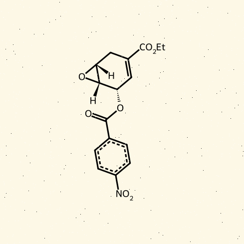 CCOC(=O)C1=C[C@H](OC(=O)c2ccc([N+](=O)[O-])cc2)[C@@H]2O[C@@H]2C1